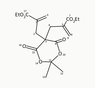 C=C(CC1(CC(=C)C(=O)OCC)C(=O)OC(C)(C)OC1=O)C(=O)OCC